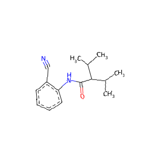 CC(C)C(C(=O)Nc1ccccc1C#N)C(C)C